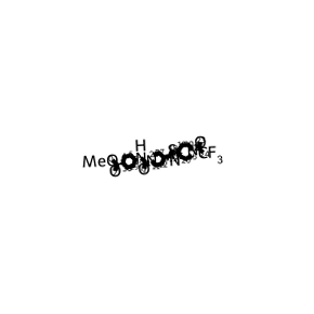 COC(=O)[C@H]1CC[C@H](NC(=O)N2CCC(c3nc4c(s3)CCN(C(=O)C(F)(F)F)CC4)CC2)CC1